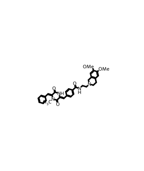 COc1cc2c(cc1OC)CN(CCNC(=O)c1ccc(C=c3[nH]c(=O)c(=Cc4ccccc4)n(C)c3=O)cc1)CC2